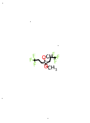 CO[Si](CCC(F)(F)F)(CCC(F)(F)F)OC